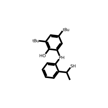 CC(S)c1ccccc1Pc1cc(C(C)(C)C)cc(C(C)(C)C)c1O